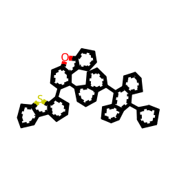 c1ccc(-c2c3ccccc3c(-c3cccc4c(-c5c(-c6cccc7c6sc6ccccc67)ccc6oc7ccccc7c56)cccc34)c3ccccc23)cc1